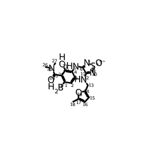 Bc1ccc(Nc2n[s+]([O-])nc2NCc2ccc(C)o2)c(O)c1C(=O)N(C)C